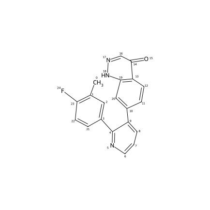 Cc1cc(-c2ncccc2-c2ccc3c(=O)cn[nH]c3c2)ccc1F